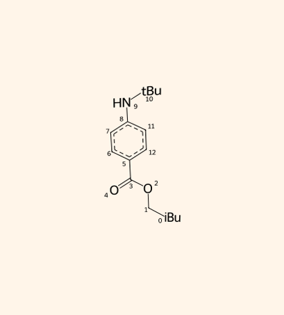 CCC(C)COC(=O)c1ccc(NC(C)(C)C)cc1